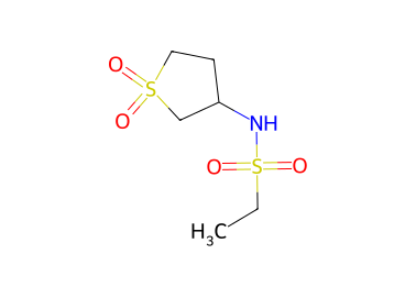 CCS(=O)(=O)NC1CCS(=O)(=O)C1